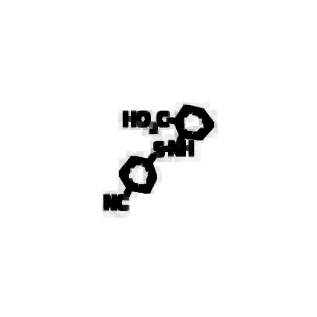 N#Cc1ccc(SNc2ccccc2C(=O)O)cc1